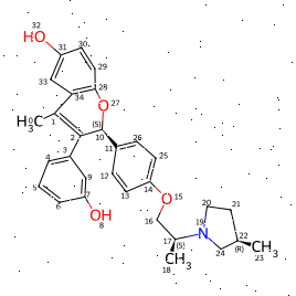 CC1=C(c2cccc(O)c2)[C@H](c2ccc(OC[C@H](C)N3CC[C@@H](C)C3)cc2)Oc2ccc(O)cc21